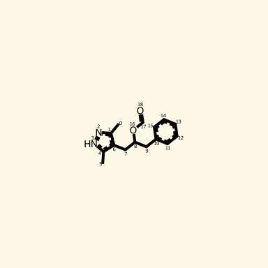 Cc1n[nH]c(C)c1CC(Cc1ccccc1)OC=O